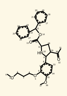 COCCCOc1cc(C2NC(C(=O)OC(c3ccccc3)c3ccccc3)CC2C(C)=O)ccc1OC